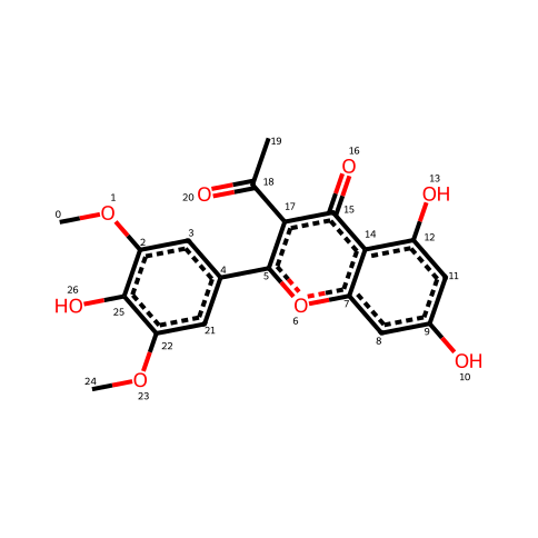 COc1cc(-c2oc3cc(O)cc(O)c3c(=O)c2C(C)=O)cc(OC)c1O